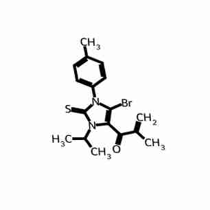 C=C(C)C(=O)c1c(Br)n(-c2ccc(C)cc2)c(=S)n1C(C)C